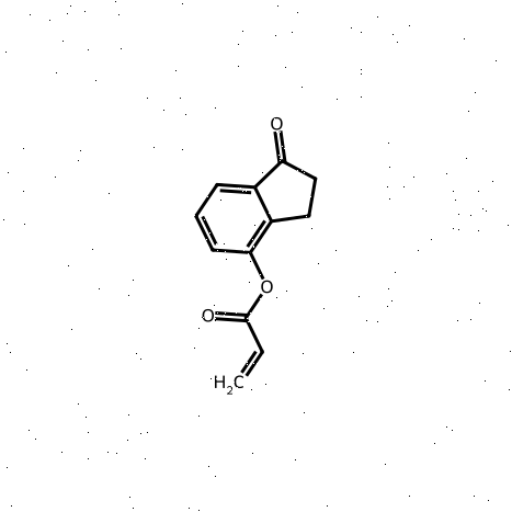 C=CC(=O)Oc1cccc2c1CCC2=O